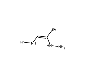 CC(C)N/C=C(\NN)C(C)C